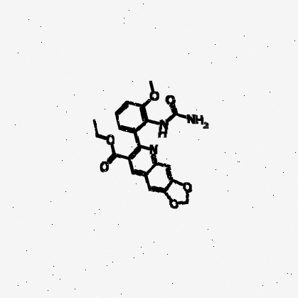 CCOC(=O)c1cc2cc3c(cc2nc1-c1cccc(OC)c1NC(N)=O)OCO3